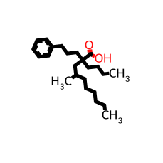 CCCCCCC(C)CC(CCCC)(CCCc1ccccc1)C(=O)O